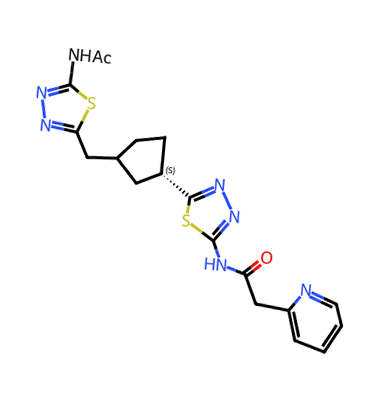 CC(=O)Nc1nnc(CC2CC[C@H](c3nnc(NC(=O)Cc4ccccn4)s3)C2)s1